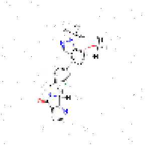 [2H]C([2H])([2H])Oc1ccc(-c2cc(F)c(CN3C(=O)c4cccnc4C3([2H])[2H])c(F)c2)c2cnn(C([2H])([2H])[2H])c12